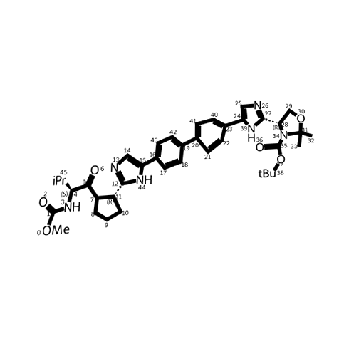 COC(=O)N[C@H](C(=O)C1CCC[C@H]1c1ncc(-c2ccc(-c3ccc(-c4cnc([C@@H]5COC(C)(C)N5C(=O)OC(C)(C)C)[nH]4)cc3)cc2)[nH]1)C(C)C